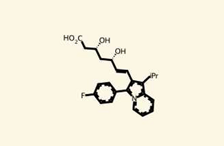 CC(C)c1c(C=C[C@@H](O)C[C@@H](O)CC(=O)O)c(-c2ccc(F)cc2)n2ccccc12